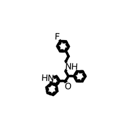 O=C(c1c[nH]c2ccccc12)C(CNCCc1ccc(F)cc1)c1ccccc1